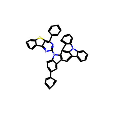 c1ccc(-c2ccc3c(c2)c2cc4c5ccccc5n5c6ccccc6c(c2n3-c2nc(-c3ccccc3)c3sc6ccccc6c3n2)c45)cc1